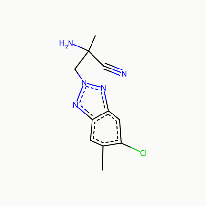 Cc1cc2nn(CC(C)(N)C#N)nc2cc1Cl